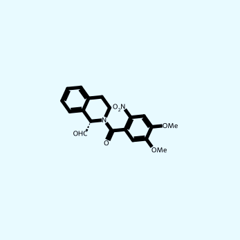 COc1cc(C(=O)N2CCc3ccccc3[C@H]2C=O)c([N+](=O)[O-])cc1OC